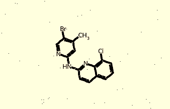 Cc1cc(Nc2ccc3cccc(Cl)c3n2)ncc1Br